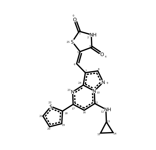 O=C1NC(=O)/C(=C\c2cnn3c(NC4CC4)cc(-c4cccs4)nc23)S1